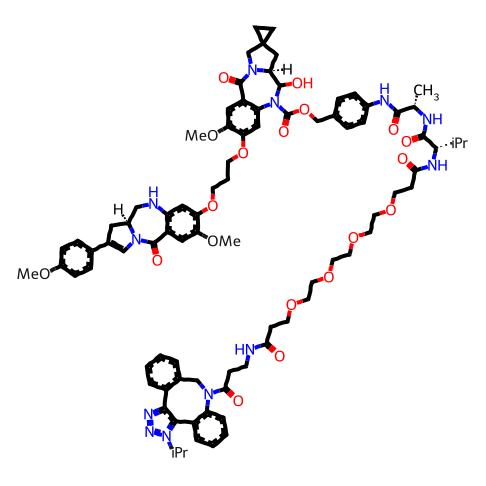 COc1ccc(C2=CN3C(=O)c4cc(OC)c(OCCCOc5cc6c(cc5OC)C(=O)N5CC7(CC7)C[C@H]5C(O)N6C(=O)OCc5ccc(NC(=O)[C@H](C)NC(=O)[C@@H](NC(=O)CCOCCOCCOCCOCCC(=O)NCCC(=O)N6Cc7ccccc7-c7nnn(C(C)C)c7-c7ccccc76)C(C)C)cc5)cc4NC[C@@H]3C2)cc1